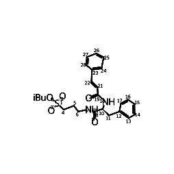 CC(C)COS(=O)(=O)CCCNC(=O)[C@H](Cc1ccccc1)NC(=O)/C=C/c1ccccc1